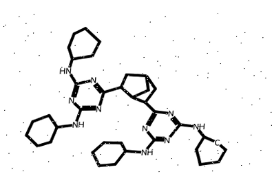 C1CCC(Nc2nc(NC3CCCCC3)nc(C3CC4CC(c5nc(NC6CCCCC6)nc(NC6CCCCC6)n5)C3C4)n2)CC1